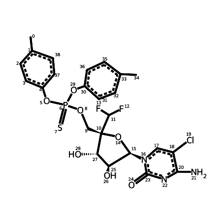 Cc1ccc(OP(=S)(OC[C@@]2(C(F)F)O[C@@H](n3cc(Cl)c(N)nc3=O)[C@@H](O)[C@@H]2O)Oc2ccc(C)cc2)cc1